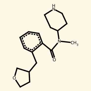 CN(C(=O)c1ccccc1CC1CCOC1)C1CCNCC1